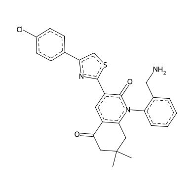 CC1(C)CC(=O)c2cc(-c3nc(-c4ccc(Cl)cc4)cs3)c(=O)n(-c3ccccc3CN)c2C1